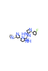 Fc1cccc(-c2nccc3[nH]c(-c4n[nH]c5ccc(-c6cncc(CN7CCCC7)c6)nc45)nc23)c1